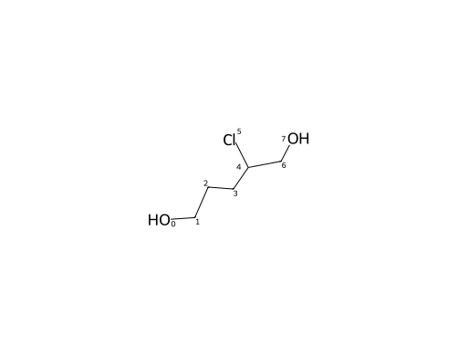 OCCCC(Cl)CO